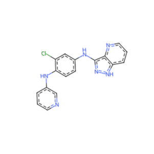 Clc1cc(Nc2n[nH]c3cccnc23)ccc1Nc1cccnc1